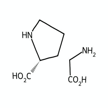 NCC(=O)O.O=C(O)[C@H]1CCCN1